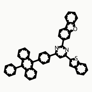 c1ccc(-c2c3ccccc3c(-c3ccc(-c4cc(-c5cc6ccccc6s5)nc(-c5ccc6c(c5)oc5ccccc56)n4)cc3)c3ccccc23)cc1